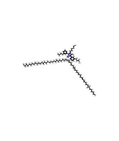 CCCCCCC1=C(c2cccc(CCCC)c2)[N+](=[N-])C(c2cccc(CCCC)c2)=C1C.CCCCCCCCCCCCCCCCCCCCCCCCCCCC[CH2][Ni][CH2]CCCCCCCCCCCCCCCCCCCCCCCCCCCC